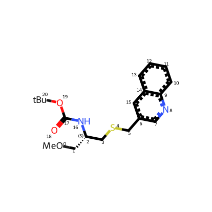 COC[C@@H](CSCc1cnc2ccccc2c1)NC(=O)OC(C)(C)C